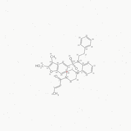 CC=CC(=O)N1CCN(c2ccccc2N(CCc2ccccc2)S(=O)(=O)c2ccc3oc(C(=O)O)c(C)c3c2)CC1